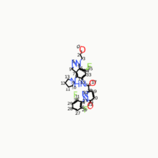 COCCn1ncc2c(N3CCCC3)c(NC(=O)c3ccc(=O)n(-c4c(F)cccc4F)n3)cc(F)c21